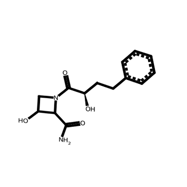 NC(=O)C1C(O)CN1C(=O)[C@H](O)[CH]Cc1ccccc1